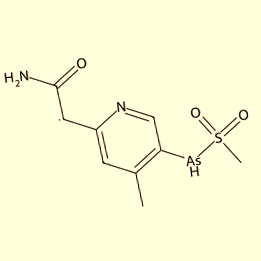 Cc1cc([CH]C(N)=O)ncc1[AsH]S(C)(=O)=O